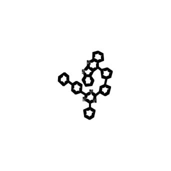 c1ccc(-c2ccc(-c3nc(-c4ccccc4)nc(-c4cccc(-c5cccc(-c6c7ccccc7nc7sc8ccccc8c67)c5)c4)n3)cc2)cc1